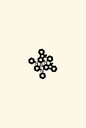 CC1(C)c2ccccc2-c2cc3c4c(c21)N(c1ccccc1)c1c2c(cc5c1C(C)(C)c1ccccc1-5)N(c1ccccc1)c1cccc(c1B42)N3c1ccccc1